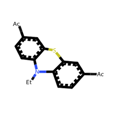 CCN1c2ccc(C(C)=O)cc2Sc2cc(C(C)=O)ccc21